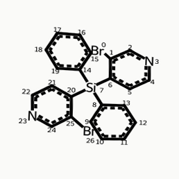 Brc1cnccc1[Si](c1ccccc1)(c1ccccc1)c1ccncc1Br